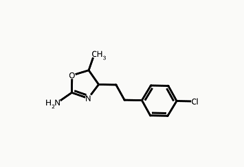 CC1OC(N)=NC1CCc1ccc(Cl)cc1